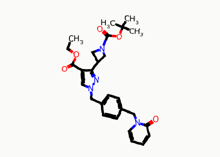 CCOC(=O)c1cn(Cc2ccc(Cn3ccccc3=O)cc2)nc1C1CN(C(=O)OC(C)(C)C)C1